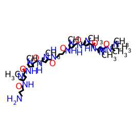 CC(CN(C)C)NC(=O)c1cc(NC(=O)c2cc(NC(=O)c3cc(NC(=O)CCCNC(=O)c4cc(NC(=O)c5cc(NC(=O)c6cc(NC(=O)CCCN)cn6C)cn5C)cn4C)cn3C)cn2C)cn1C